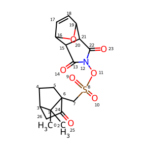 CC1(C)C2CCC1(CS(=O)(=O)ON1C(=O)C3C4C=CC(O4)C3C1=O)C(=O)C2